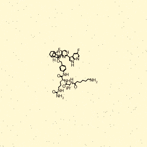 CC(C)[C@H](NC(=O)CCCCCN)C(=O)N[C@@H](CCCNC(N)=O)C(=O)Nc1ccc(COC(=O)[C@H]2C3CCC(CC3)[C@@H]2Nc2nc(-c3c[nH]c4ncc(F)cc34)ncc2F)cc1